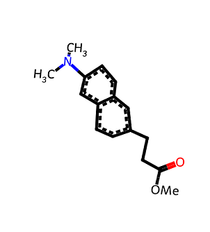 COC(=O)CCc1ccc2cc(N(C)C)ccc2c1